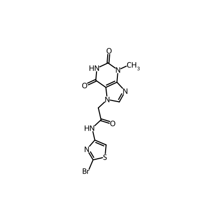 Cn1c(=O)[nH]c(=O)c2c1ncn2CC(=O)Nc1csc(Br)n1